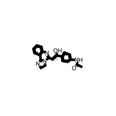 CC(=O)Nc1ccc(/C(O)=C/C2=Nc3ccccc3C3=NCCN23)cc1